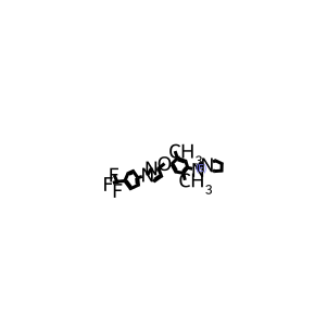 Cc1cc(Oc2ccn(-c3ccc(C(F)(F)F)cc3)n2)c(C)cc1/N=C/N1CCCC1